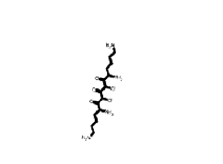 NCCCCC(N)C(=O)C(Cl)C(=O)C(Cl)C(=O)C(N)CCCCN